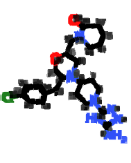 Nc1nnc(N2CCC(N3C[C@H](CN4CCCCC4=O)OC[C@@H]3Cc3ccc(Cl)cc3)CC2)[nH]1